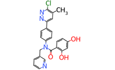 Cc1cc(-c2ccc(N(Cc3cccnc3)C(=O)c3ccc(O)cc3O)cc2)nnc1Cl